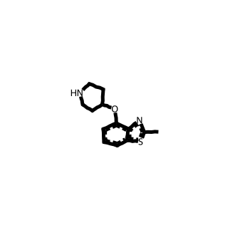 Cc1nc2c(OC3CCNCC3)cccc2s1